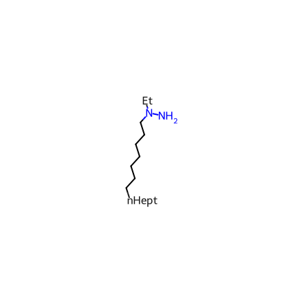 CCCCCCCCCCCCCCN(N)CC